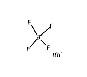 F[B-](F)(F)F.[Rh+]